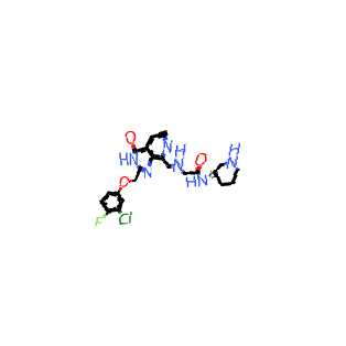 O=C(CNCc1nccc2c(=O)[nH]c(COc3ccc(F)c(Cl)c3)nc12)N[C@H]1CCCNC1